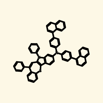 C1=C(c2ccccc2)c2ccccc2Sc2c1n(-c1ccccc1)c1cc(N(c3ccc(-c4cccc5ccccc45)cc3)c3ccc(-c4cccc5ccccc45)cc3)ccc21